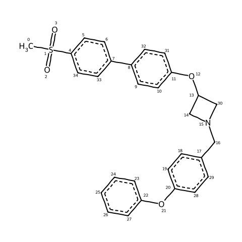 CS(=O)(=O)c1ccc(-c2ccc(OC3CN(Cc4ccc(Oc5ccccc5)cc4)C3)cc2)cc1